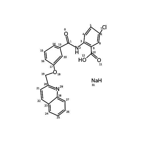 O=C(Nc1ccc(Cl)cc1C(=O)O)c1cccc(OCc2ccc3ccccc3n2)c1.[NaH]